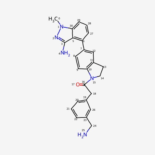 Cn1nc(N)c2c(-c3ccc4c(c3)CCN4C(=O)Cc3cccc(CN)c3)cccc21